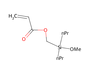 C=CC(=O)OC[Si](CCC)(CCC)OC